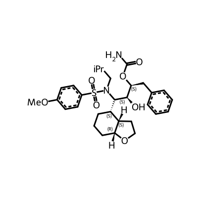 COc1ccc(S(=O)(=O)N(CC(C)C)C([C@H]2CCC[C@H]3OCC[C@@H]23)[C@H](O)[C@H](Cc2ccccc2)OC(N)=O)cc1